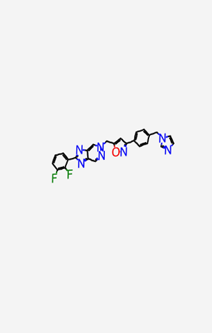 Fc1cccc(-c2nc3cnn(Cc4cc(-c5ccc(Cn6ccnc6)cc5)no4)cc-3n2)c1F